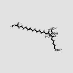 CCCCCCCCCCCCCCCC(=O)C(O)(C(=O)CCCCCCCC=CCCCCC(P)CCC)C(O)CO